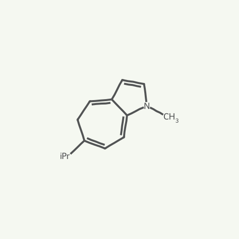 CC(C)C1=CC=c2c(ccn2C)=CC1